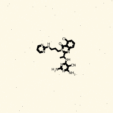 CC(Nc1nc(N)nc(N)c1C#N)c1nc2cccc(Cl)c2c(=O)n1CCCNc1ncccn1